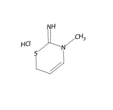 CN1C=CCSC1=N.Cl